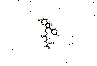 O=C(CCc1c(-c2ccc(F)cc2)[nH]c2ccc(F)cc12)NCC1(O)CC1